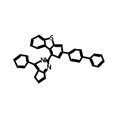 C1=CC2=NC(c3cc(-c4ccc(-c5ccccc5)cc4)cc4sc5ccccc5c34)NC(c3ccccc3)=C2C1